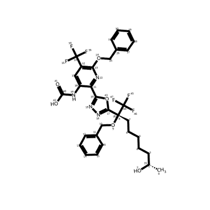 C[C@H](O)CCCCC[C@@](OCc1ccccc1)(c1nnc(-c2nc(OCc3ccccc3)c(C(F)(F)F)cc2NC(=O)O)o1)C(F)(F)F